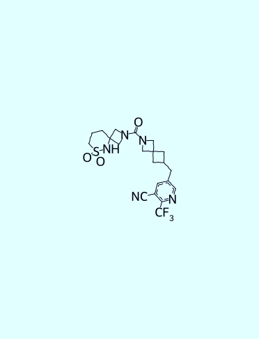 N#Cc1cc(CC2CC3(C2)CN(C(=O)N2CC4(CCCS(=O)(=O)N4)C2)C3)cnc1C(F)(F)F